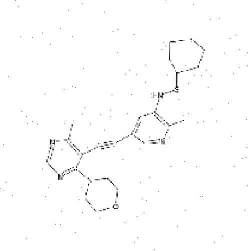 Cc1ncc(C#Cc2c(C)ncnc2N2CCOCC2)cc1NSC1CCCCC1